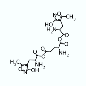 Cc1onc(O)c1CC(N)C(=O)OC(=O)CC[C@H](N)C(=O)OC(=O)C(N)Cc1c(O)noc1C